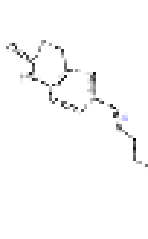 O=C1CCc2cc(/C=C/CCCl)ccc2N1